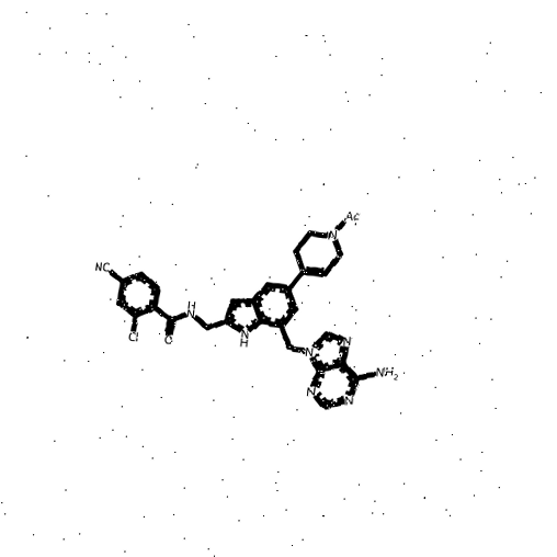 CC(=O)N1CC=C(c2cc(Cn3cnc4c(N)ncnc43)c3[nH]c(CNC(=O)c4ccc(C#N)cc4Cl)cc3c2)CC1